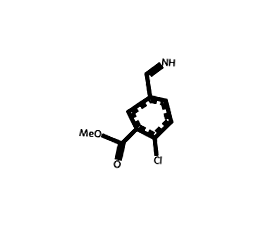 COC(=O)c1cc(C=N)ccc1Cl